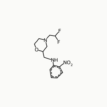 O=[N+]([O-])c1ccccc1NCC1CN(CC(F)F)CCO1